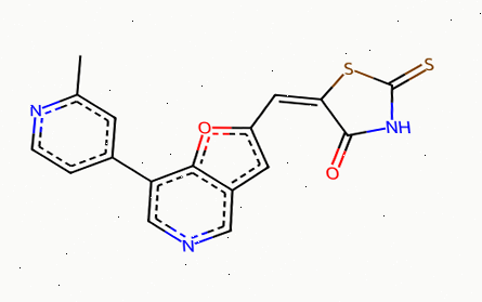 Cc1cc(-c2cncc3cc(C=C4SC(=S)NC4=O)oc23)ccn1